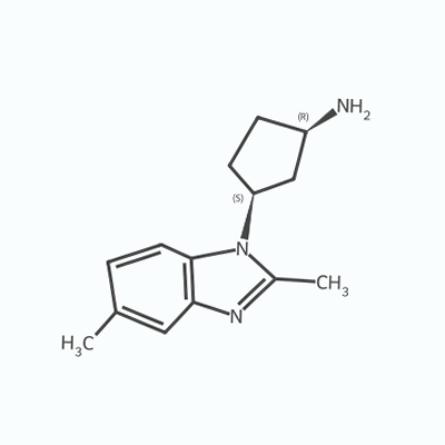 Cc1ccc2c(c1)nc(C)n2[C@H]1CC[C@@H](N)C1